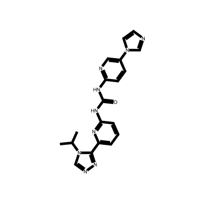 CC(C)n1cnnc1-c1cccc(NC(=O)Nc2ccc(-n3ccnc3)cn2)n1